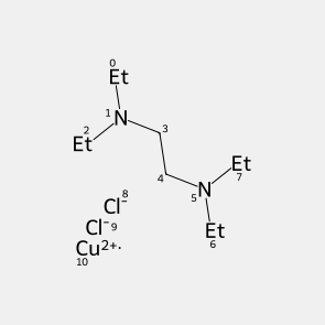 CCN(CC)CCN(CC)CC.[Cl-].[Cl-].[Cu+2]